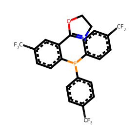 FC(F)(F)c1ccc(P(c2ccc(C(F)(F)F)cc2)c2ccc(C(F)(F)F)cc2C2=NCCO2)cc1